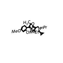 CCCN(Cc1c(CC)nn2c(C3CC=C(OC)C=C3OC)c(C)oc12)CC1CC1